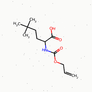 C=CCOC(=O)NC(CCC(C)(C)C)C(=O)O